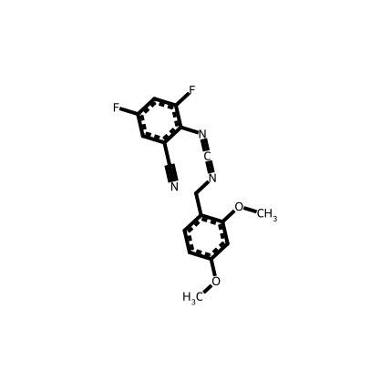 COc1ccc(CN=C=Nc2c(F)cc(F)cc2C#N)c(OC)c1